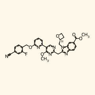 COC(=O)c1ccc2nc(Cc3ncc(-c4cccc(OCc5ccc(C#N)cc5F)n4)c(OC)n3)n(C[C@@H]3CCO3)c2c1